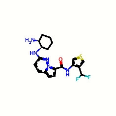 N[C@H]1CCCC[C@H]1Nc1ccc2ccc(C(=O)Nc3cscc3C(F)F)n2n1